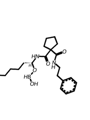 NCCCC[C@H](NC(=O)C1(C(=O)NCCc2ccccc2)CCCC1)OBO